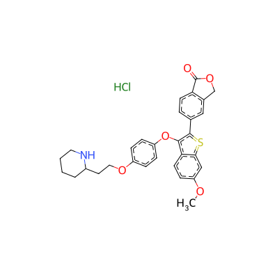 COc1ccc2c(Oc3ccc(OCCC4CCCCN4)cc3)c(-c3ccc4c(c3)COC4=O)sc2c1.Cl